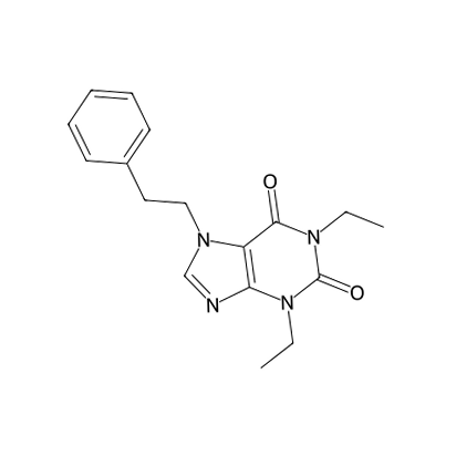 CCn1c(=O)c2c(ncn2CCc2ccccc2)n(CC)c1=O